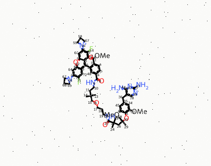 COC(=O)c1ccc(C(=O)NCCC(C)(C)COCCCNC(=O)C(C)(C)CC(C)(C)Oc2c(OC)cc(Cc3cnc(N)nc3N)cc2OC)cc1-c1c2cc(F)c(=[N+]3CCC3)cc-2oc2cc(N3CCC3)c(F)cc12